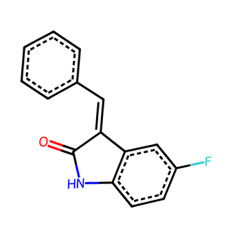 O=C1Nc2ccc(F)cc2/C1=C/c1ccccc1